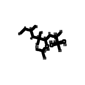 CCC(C)CC(C)(C)C(CN(C)S(C)(=O)=O)OC(C)C